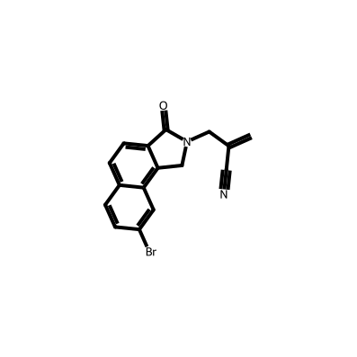 C=C(C#N)CN1Cc2c(ccc3ccc(Br)cc23)C1=O